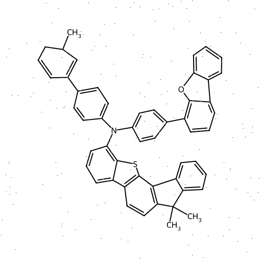 CC1C=C(c2ccc(N(c3ccc(-c4cccc5c4oc4ccccc45)cc3)c3cccc4c3sc3c5c(ccc34)C(C)(C)c3ccccc3-5)cc2)C=CC1